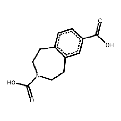 O=C(O)c1ccc2c(c1)CCN(C(=O)O)CC2